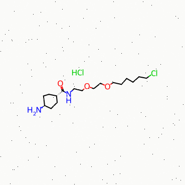 Cl.N[C@H]1CC[C@H](C(=O)NCCOCCOCCCCCCCl)CC1